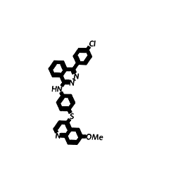 COc1ccc2nccc(Sc3ccc(Nc4nnc(-c5ccc(Cl)cc5)c5ccccc45)cc3)c2c1